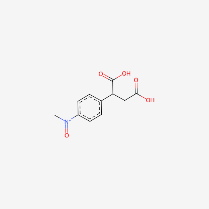 C[N+](=O)c1ccc(C(CC(=O)O)C(=O)O)cc1